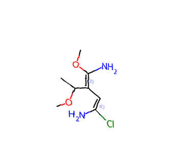 CO/C(N)=C(/C=C(\N)Cl)C(C)OC